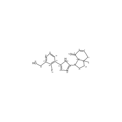 CC12CC=CC(=O)N1C(c1ncc(-c3ccnc(CO)c3F)[nH]1)CC2